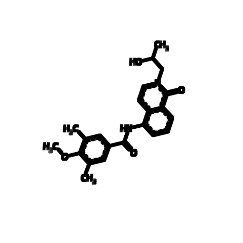 COc1c(C)cc(C(=O)Nc2cccc3c(=O)n(CC(C)O)ccc23)cc1C